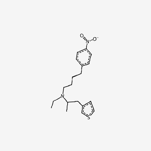 CCN(CCCCc1ccc([N+](=O)[O-])cc1)C(C)Cc1ccsc1